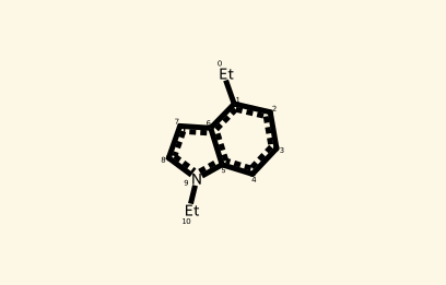 CCc1cccc2c1ccn2CC